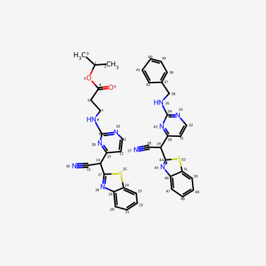 CC(C)OC(=O)CCNc1nccc(C(C#N)c2nc3ccccc3s2)n1.N#CC(c1ccnc(NCc2ccccc2)n1)c1nc2ccccc2s1